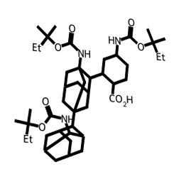 CCC(C)(C)OC(=O)NC1CCC(C(=O)O)C(C2C3CC4CC(C5C6CC7CC(C6)C(NC(=O)OC(C)(C)CC)C5C7)(C3)CC2(NC(=O)OC(C)(C)CC)C4)C1